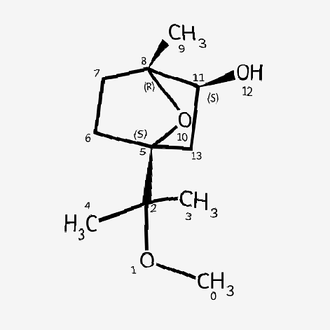 COC(C)(C)[C@@]12CC[C@@](C)(O1)[C@@H](O)C2